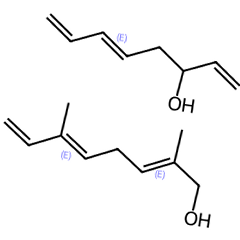 C=C/C(C)=C/C/C=C(\C)CO.C=C/C=C/CC(O)C=C